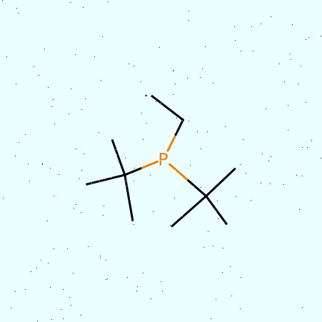 [CH2]CP(C(C)(C)C)C(C)(C)C